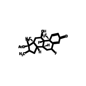 CC(=O)O[C@]1(C(C)=O)C(C)C[C@H]2[C@@H]3CC(F)C4=CC(=O)C=C[C@]4(C)[C@@]3(F)C(O)C[C@@]21C